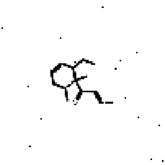 CC=CC(=O)C1(C)C(C)CC=CC1CC